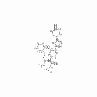 C[C@H]1CCc2c(ccc(-c3cn(C4CCNCC4)nn3)c2Oc2ccccc2)N1C(=O)C1CC1